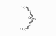 C=CCSCCS(=O)(=O)CCSCC=C